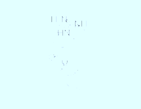 CCCC(CC(CCC)C(=O)OCc1ccccc1)NC(=N)N